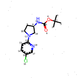 CC(C)(C)OC(=O)N[C@@H]1CCN(c2ccc(Cl)cn2)C1